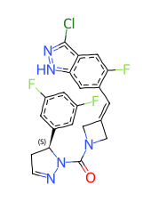 O=C(N1CC(=Cc2cc3[nH]nc(Cl)c3cc2F)C1)N1N=CC[C@H]1c1cc(F)cc(F)c1